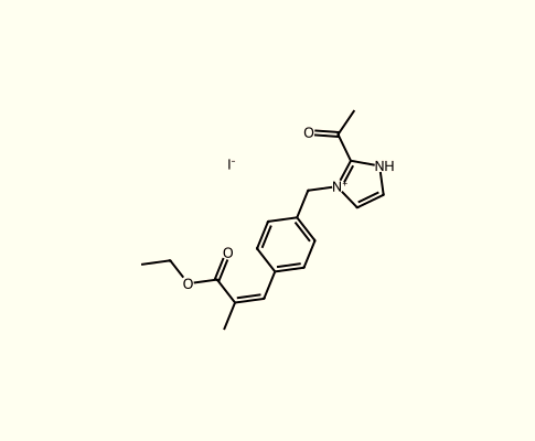 CCOC(=O)C(C)=Cc1ccc(C[n+]2cc[nH]c2C(C)=O)cc1.[I-]